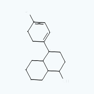 CC1CCC(C2=CC=C(Br)CC2)C2CCCCC12